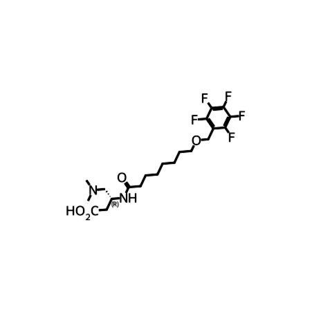 CN(C)C[C@@H](CC(=O)O)NC(=O)CCCCCCCOCc1c(F)c(F)c(F)c(F)c1F